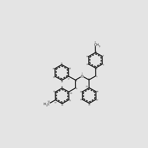 Cc1ccc(CC(OC(Cc2ccc(C)cc2)c2ccccc2)c2ccccc2)cc1